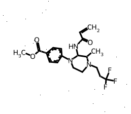 C=CC(=O)NC1C(C)N(CCC(F)(F)F)CCN1c1ccc(C(=O)OC)cc1